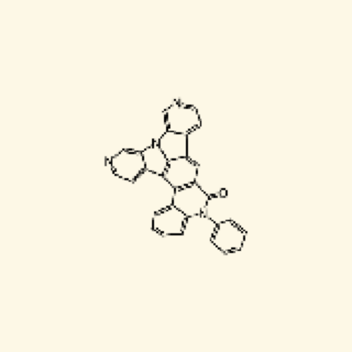 O=c1c2cc3c4ccncc4n4c5cnccc5c(c2c2ccccc2n1-c1ccccc1)c34